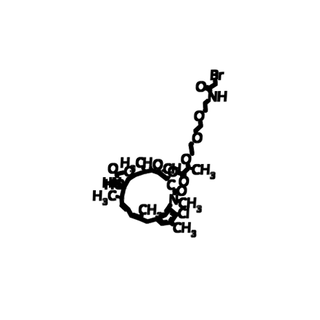 C/C1=C\C=C\[C@@H](C)[C@@]2(O)CC(OC(=O)N2)[C@@H](C)[C@@H]2O[C@@]2(C)[C@@H](OC(=O)[C@H](C)OCCOCCOCCNC(=O)CBr)CC(=O)N(C)c2cc(cc(C)c2Cl)C1